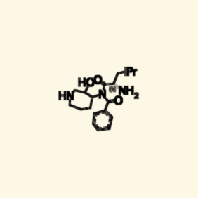 CC(C)C[C@H](N)C(=O)N(C(=O)c1ccccc1)C1CCCNCC1O